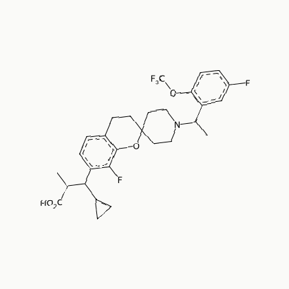 CC(C(=O)O)C(c1ccc2c(c1F)OC1(CC2)CCN(C(C)c2cc(F)ccc2OC(F)(F)F)CC1)C1CC1